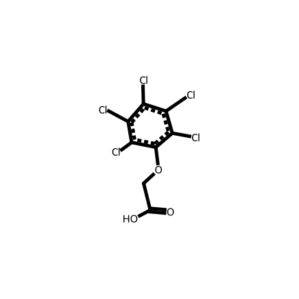 O=C(O)COc1c(Cl)c(Cl)c(Cl)c(Cl)c1Cl